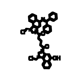 O=C(CCCC(=O)N1C[C@H](CCl)c2c1cc(N=C(c1ccccc1)c1ccccc1)c1ccccc21)N1C[C@H](CCl)c2c1cc(O)c1ccccc21